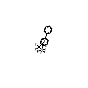 FC(F)(Cl)C(F)(F)S(F)(F)(F)(F)c1ccc(-c2ccccc2)cc1